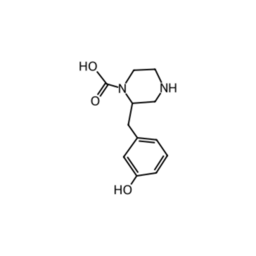 O=C(O)N1CCNCC1Cc1cccc(O)c1